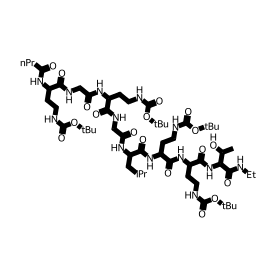 CCCC(=O)NC(CCNC(=O)OC(C)(C)C)C(=O)NCC(=O)NC(CCNC(=O)OC(C)(C)C)C(=O)NCC(=O)NC(CC(C)C)C(=O)NC(CCNC(=O)OC(C)(C)C)C(=O)NC(CCNC(=O)OC(C)(C)C)C(=O)NC(C(=O)NCC)C(C)O